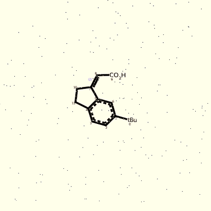 CC(C)(C)c1ccc2c(c1)/C(=C\C(=O)O)CC2